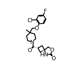 CC1(COc2ccc(F)cc2Cl)CCN(C(=O)[C@H]2C[C@]3(COC(=O)N3)C2)CC1